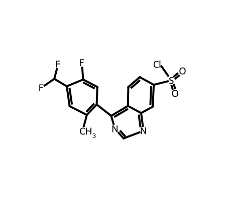 Cc1cc(C(F)F)c(F)cc1-c1ncnc2cc(S(=O)(=O)Cl)ccc12